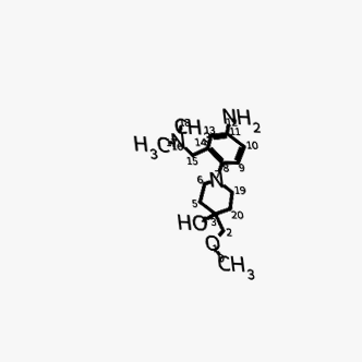 COCC1(O)CCN(c2ccc(N)cc2CN(C)C)CC1